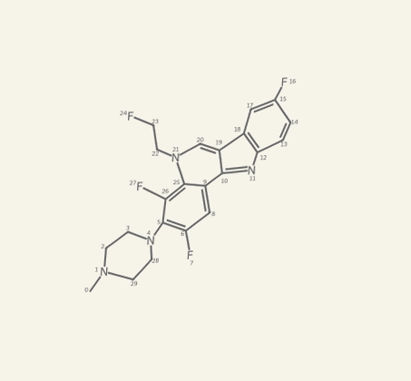 CN1CCN(c2c(F)cc3c4nc5ccc(F)cc5c-4cn(CCF)c3c2F)CC1